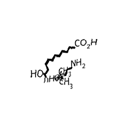 CCCCCCC(O)C/C=C\CCCCCCCC(=O)O.C[N+](C)([O-])CCCN